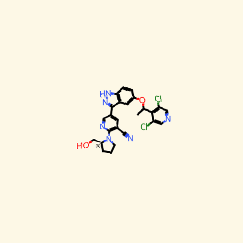 CC(Oc1ccc2[nH]nc(-c3cnc(N4CCC[C@H]4CO)c(C#N)c3)c2c1)c1c(Cl)cncc1Cl